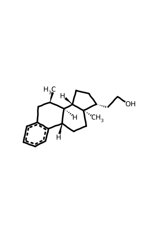 C[C@@H]1Cc2ccccc2[C@H]2CC[C@]3(C)[C@@H](CCO)CC[C@H]3[C@H]12